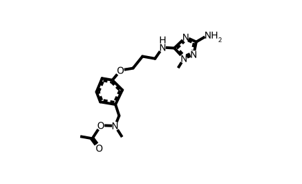 CC(=O)ON(C)Cc1cccc(OCCCNc2nc(N)nn2C)c1